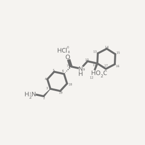 Cl.NC[C@H]1CC[C@H](C(=O)NCC2(C(=O)O)CCCCC2)CC1